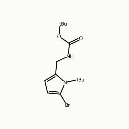 CC(C)(C)OC(=O)NCc1ccc(Br)n1C(C)(C)C